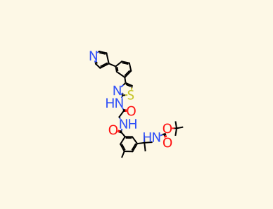 Cc1cc(C(=O)NCC(=O)Nc2nc(-c3cccc(-c4ccncc4)c3)cs2)cc(C(C)(C)CNC(=O)OC(C)(C)C)c1